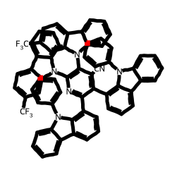 N#Cc1c(-c2cccc3c4ccccc4n(-c4ccccc4)c23)c(-c2cccc3c4ccccc4n(-c4ccccc4)c23)nc(-n2c3ccccc3c3ccc(C(F)(F)F)cc32)c1-n1c2ccccc2c2ccc(C(F)(F)F)cc21